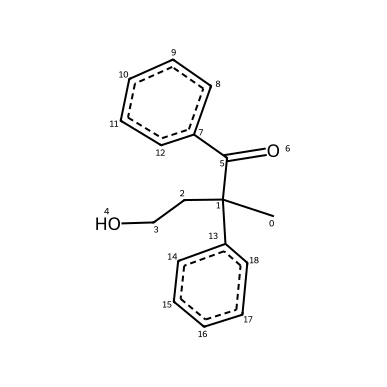 CC(CCO)(C(=O)c1ccccc1)c1ccccc1